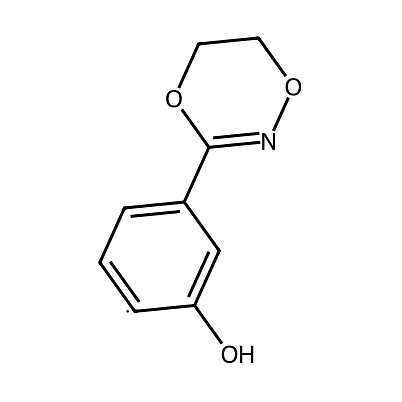 Oc1[c]ccc(C2=NOCCO2)c1